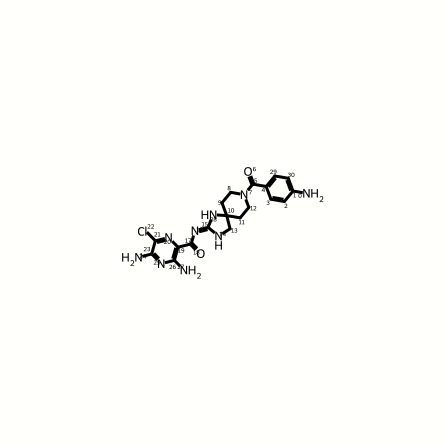 Nc1ccc(C(=O)N2CCC3(CC2)CN/C(=N\C(=O)c2nc(Cl)c(N)nc2N)N3)cc1